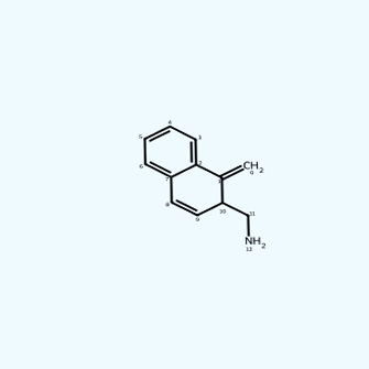 C=C1c2ccccc2C=CC1CN